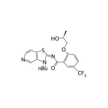 CCCCn1c(=NC(=O)c2cc(C(F)(F)F)ccc2OC[C@H](C)O)sc2ccncc21